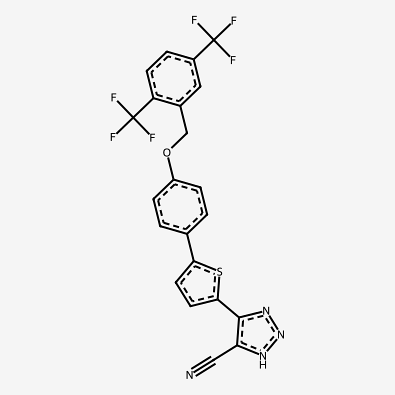 N#Cc1[nH]nnc1-c1ccc(-c2ccc(OCc3cc(C(F)(F)F)ccc3C(F)(F)F)cc2)s1